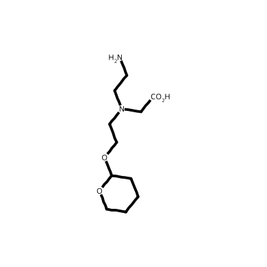 NCCN(CCOC1CCCCO1)CC(=O)O